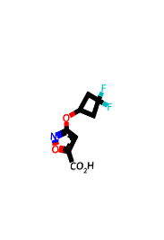 O=C(O)c1cc(OC2CC(F)(F)C2)no1